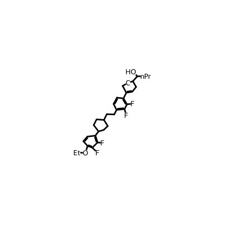 CCCC(O)C1CC=C(c2ccc(CCC3CCC(c4ccc(OCC)c(F)c4F)CC3)c(F)c2F)CC1